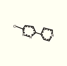 Clc1ccc(-c2ccncc2)nn1